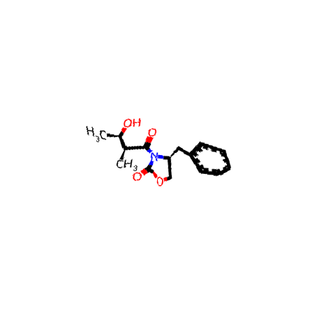 C[C@H](C(=O)N1C(=O)OC[C@@H]1Cc1ccccc1)[C@@H](C)O